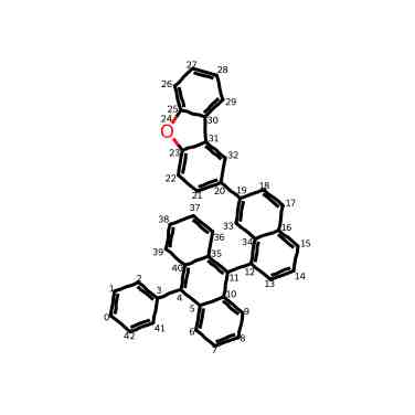 c1ccc(-c2c3ccccc3c(-c3cccc4ccc(-c5ccc6oc7ccccc7c6c5)cc34)c3ccccc23)cc1